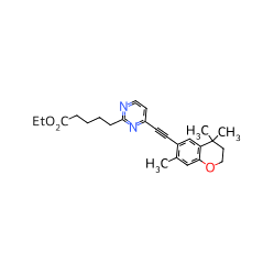 CCOC(=O)CCCCc1nccc(C#Cc2cc3c(cc2C)OCCC3(C)C)n1